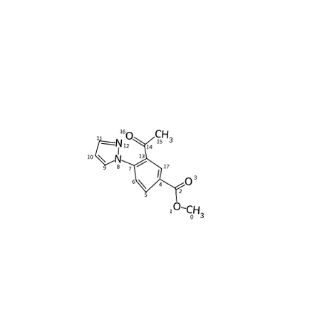 COC(=O)c1ccc(-n2cccn2)c(C(C)=O)c1